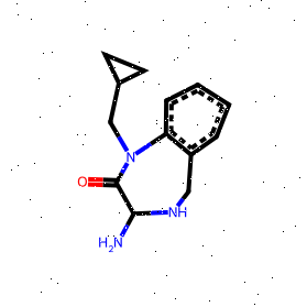 NC1NCc2ccccc2N(CC2CC2)C1=O